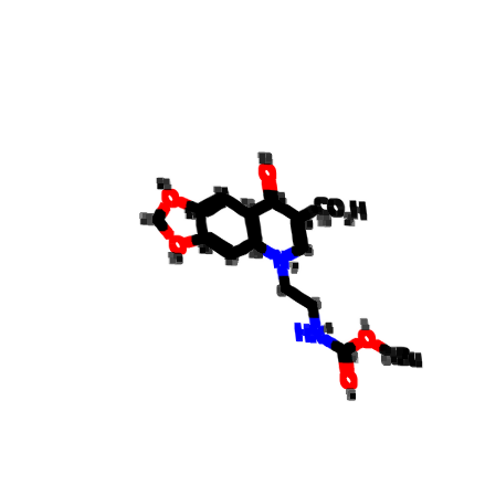 CC(C)(C)OC(=O)NCCn1cc(C(=O)O)c(=O)c2cc3c(cc21)OCO3